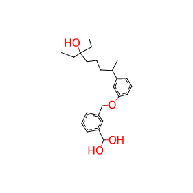 CCC(O)(CC)CCCC(C)c1cccc(OCc2cccc(C(O)O)c2)c1